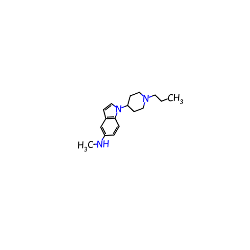 CCCN1CCC(n2ccc3cc(NC)ccc32)CC1